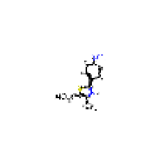 Nc1ccc(-c2nc(C(F)(F)F)c(C(=O)O)s2)cc1